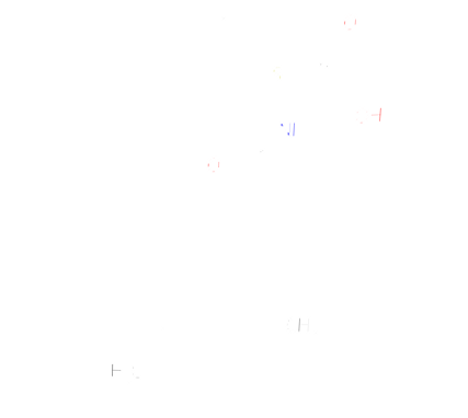 Cc1ccc(CC(=O)NS2(C(=O)O)CCCC2)c(C)c1